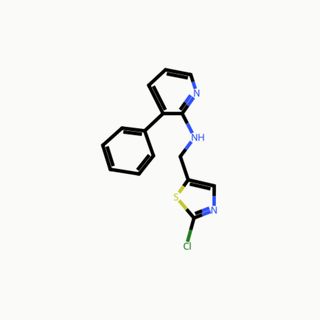 Clc1ncc(CNc2ncccc2-c2ccccc2)s1